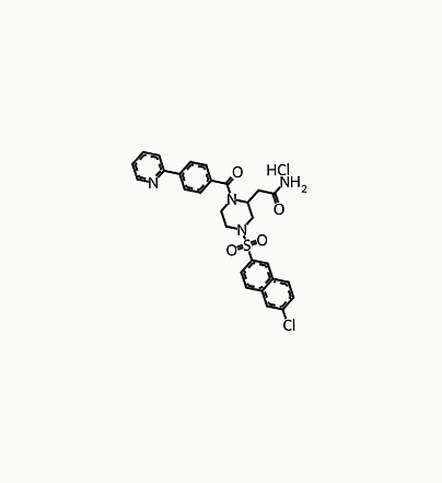 Cl.NC(=O)CC1CN(S(=O)(=O)c2ccc3cc(Cl)ccc3c2)CCN1C(=O)c1ccc(-c2ccccn2)cc1